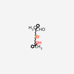 CC(C=O)(CCCCC[S+]([O-])CCCCCC(C)(CO)c1ccccc1)c1ccccc1